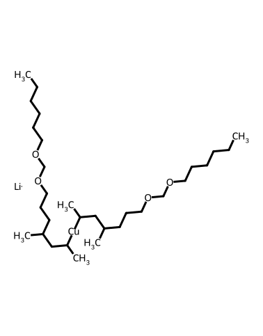 CCCCCCOCOCCCC(C)C[CH](C)[Cu][CH](C)CC(C)CCCOCOCCCCCC.[Li]